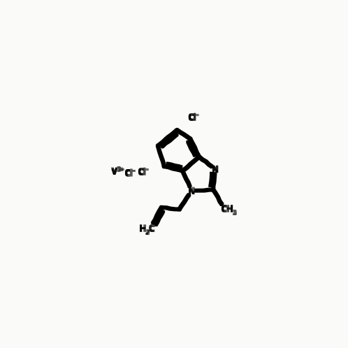 C=CCn1c(C)nc2ccccc21.[Cl-].[Cl-].[Cl-].[V+3]